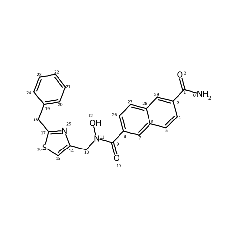 NC(=O)c1ccc2cc(C(=O)N(O)Cc3csc(Cc4ccccc4)n3)ccc2c1